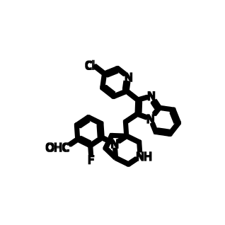 O=Cc1cccc(N2C3CCC2(Cc2c(-c4ccc(Cl)cn4)nc4ccccn24)CNC3)c1F